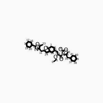 CCOC(Cc1ccc2oc(Cc3nc(-c4ccccc4)oc3C)cc2c1)C(=O)N1C(=O)OCC1Cc1ccccc1